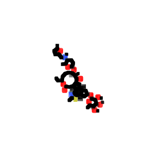 CC[C@H]1CCC[C@H](O[C@H]2CC[C@H](N(C)Cc3ccc(C)o3)C(C)O2)[C@@H](C)C(=O)C2=C[C@H]3[C@@H]4C[C@H](O[C@@H]5OC(C)[C@H](OC)[C@@H](OC)C5OC)C[C@H]4c4sc(C)nc4[C@H]3[C@@H]2CC(=O)O1